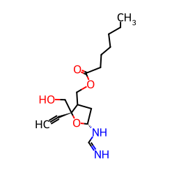 C#C[C@]1(CO)O[C@@H](NC=N)CC1COC(=O)CCCCCC